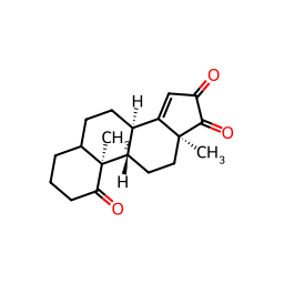 C[C@]12CC[C@H]3[C@@H](CCC4CCCC(=O)[C@@]43C)C1=CC(=O)C2=O